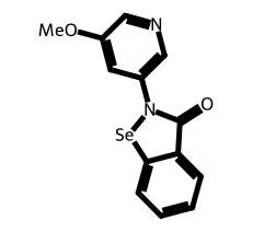 COc1cncc(-n2[se]c3ccccc3c2=O)c1